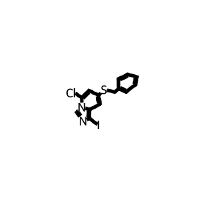 Clc1cc(SCc2ccccc2)cc2c(I)ncn12